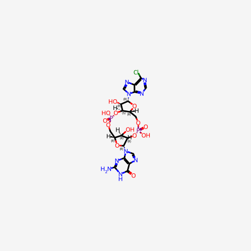 Nc1nc2c(ncn2[C@@H]2O[C@@H]3COP(=O)(O)O[C@H]4[C@@H](O)[C@H](n5cnc6c(Cl)ncnc65)O[C@@H]4COP(=O)(O)O[C@@H]2[C@@H]3O)c(=O)[nH]1